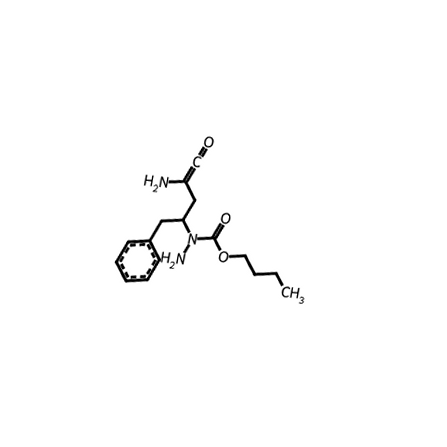 CCCCOC(=O)N(N)C(CC(N)=C=O)Cc1ccccc1